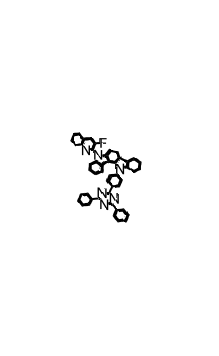 Fc1cc2ccccc2nc1-n1c2ccccc2c2c1ccc1c3ccccc3n(-c3ccc(-c4nc(-c5ccccc5)nc(-c5ccccc5)n4)cc3)c12